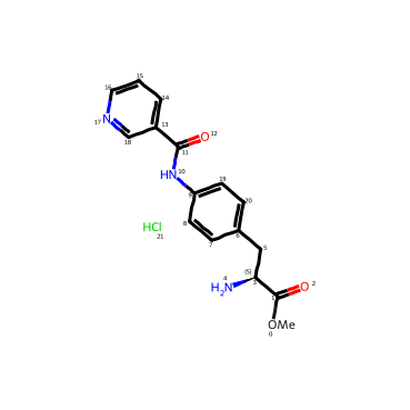 COC(=O)[C@@H](N)Cc1ccc(NC(=O)c2cccnc2)cc1.Cl